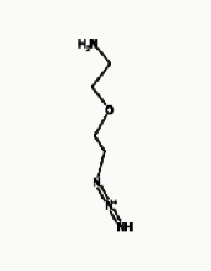 N=[N+]=NCCOCCN